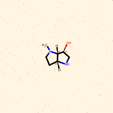 CN1CC[C@H]2NC[C@H](O)[C@H]21